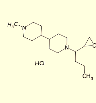 CCCC(C1CO1)N1CCC(C2CCN(C)CC2)CC1.Cl